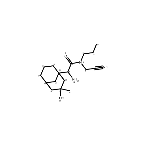 CCCN(CC#N)C(=O)C(N)C12CCCC(CC(C)(O)C1)C2